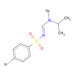 [2H]N(C=NS(=O)(=O)c1ccc(Br)cc1)C(C)C